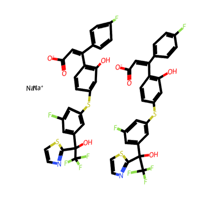 O=C([O-])C=C(c1ccc(F)cc1)c1ccc(Sc2cc(F)cc(C(O)(c3nccs3)C(F)(F)F)c2)cc1O.O=C([O-])C=C(c1ccc(F)cc1)c1ccc(Sc2cc(F)cc(C(O)(c3nccs3)C(F)(F)F)c2)cc1O.[Na+].[Na+]